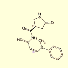 CN(/C=C\C(=N)NC(=O)[C@H]1CNC(=O)C1)c1ccccc1